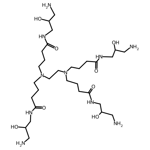 NCC(O)CNC(=O)CCCN(CCCC(=O)NCC(O)CN)CCN(CCCC(=O)NCC(O)CN)CCCC(=O)NCC(O)CN